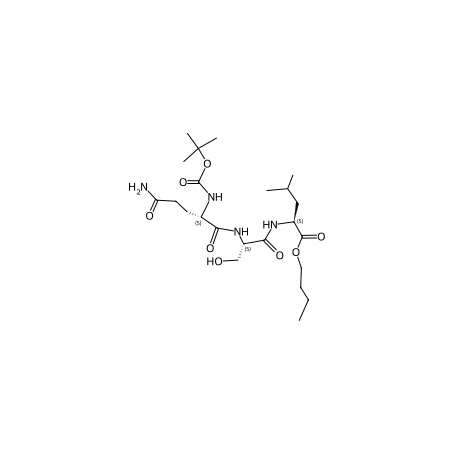 CCCCOC(=O)[C@H](CC(C)C)NC(=O)[C@H](CO)NC(=O)[C@H](CCC(N)=O)NC(=O)OC(C)(C)C